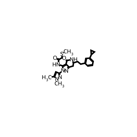 CSCC(=O)Nc1c2c(nn1-c1cc(C)n(C)n1)CC(CCc1cccc(C3CC3)c1)NC2=O